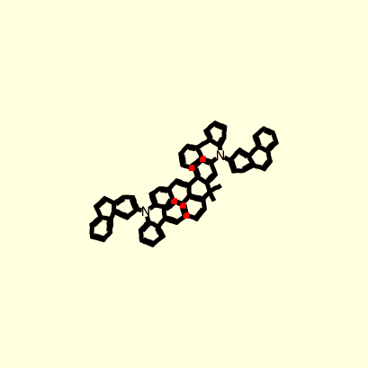 CC1(C)c2cc(N(c3ccc4ccc5ccccc5c4c3)c3ccccc3-c3ccccc3)ccc2-c2cc3ccc(N(c4ccc5ccc6ccccc6c5c4)c4ccccc4-c4ccccc4)cc3c3cccc1c23